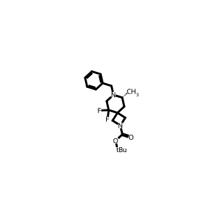 C[C@@H]1CC2(CN(C(=O)OC(C)(C)C)C2)C(F)(F)CN1Cc1ccccc1